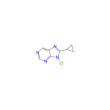 Cln1c(C2CC2)nc2cncnc21